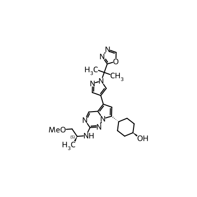 COC[C@H](C)Nc1ncc2c(-c3cnn(C(C)(C)c4nnco4)c3)cc([C@H]3CC[C@H](O)CC3)n2n1